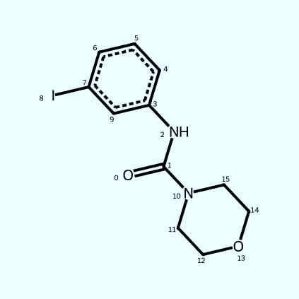 O=C(Nc1cccc(I)c1)N1CCOCC1